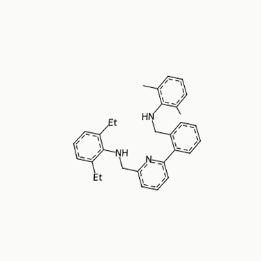 CCc1cccc(CC)c1NCc1cccc(-c2ccccc2CNc2c(C)cccc2C)n1